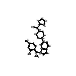 C[C@H](c1ccc(Cl)cc1Cl)n1cnc2ccc(N3CCN(C(=O)[C@H]4CCCO4)CC3)cc21